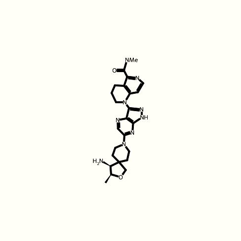 CNC(=O)c1nccc2c1CCCN2c1n[nH]c2nc(N3CCC4(CC3)CO[C@@H](C)[C@H]4N)cnc12